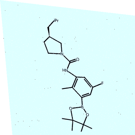 Cc1c(NC(=O)N2C[CH][C@@H](CC(C)C)C2)cc(F)cc1B1OC(C)(C)C(C)(C)O1